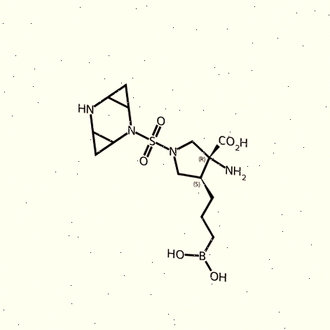 N[C@@]1(C(=O)O)CN(S(=O)(=O)N2C3CC3NC3CC32)C[C@@H]1CCCB(O)O